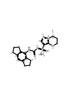 C[C@@H]1CCOc2c([S@@](N)(=O)=NC(=O)Nc3c4c(cc5c3CCC5)CCC4)cnn21